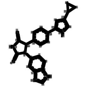 O=C1NC(=O)N(c2ccc3[nH]cnc3c2)C1c1ccc(-c2cc(C3CC3)c[nH]2)cc1